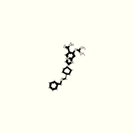 CC(C)Oc1cc2nc([C@H]3CC[C@H](COCc4ccccc4)CC3)cn2cc1C(=O)O